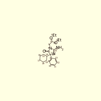 CCOC(CN1C(=O)C(c2ccccc2)(C2CCCCC2)N=C1N)OCC